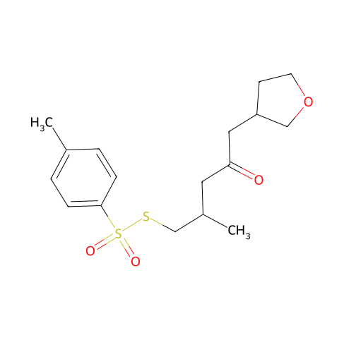 Cc1ccc(S(=O)(=O)SCC(C)CC(=O)CC2CCOC2)cc1